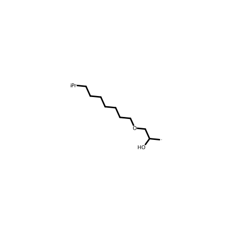 [CH2]C(O)COCCCCCCCC(C)C